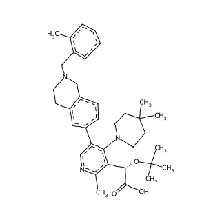 Cc1ccccc1CN1CCc2cc(-c3cnc(C)c([C@H](OC(C)(C)C)C(=O)O)c3N3CCC(C)(C)CC3)ccc2C1